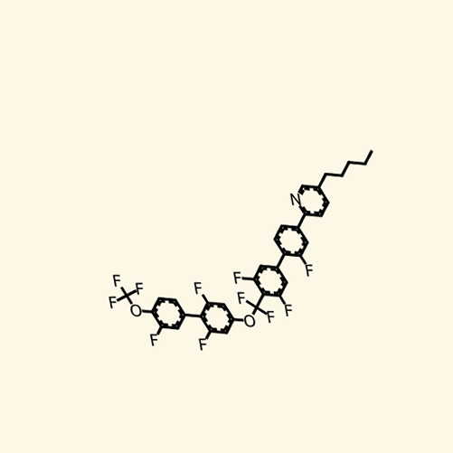 CCCCCc1ccc(-c2ccc(-c3cc(F)c(C(F)(F)Oc4cc(F)c(-c5ccc(OC(F)(F)F)c(F)c5)c(F)c4)c(F)c3)c(F)c2)nc1